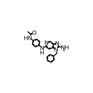 CNc1nc2cnc(Nc3ccc(NC(C)=O)cc3)cc2n1Cc1ccccc1